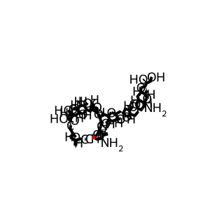 C=C1C[C@@H]2CC[C@]34OC5[C@@H]6O[C@H]7CC[C@H](CC(=O)O[C@@H]8CC9OC%10C[C@]%11(C[C@@H]%12O[C@@]%13(CC[C@@H]%12O%11)C[C@H](N)[C@@H]%11O[C@@H]%12C[C@@H]([C@@H](O)CO)O[C@@H]%12C[C@@H]%11O%13)O[C@@H]%10C[C@@H]9O[C@H]8C[C@H]8O[C@@H](CC[C@@H]1O2)C[C@@H](N)C8=C)O[C@@H]7[C@H](O3)[C@@H]6OC5(O)[C@H]4O